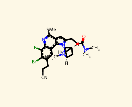 CSc1nc2c(F)c(Br)c(CCC#N)cc2c2c1cc(CCC(=O)N(C)C)n2[C@H]1[C@@H]2C[C@H]1N(C(=O)O)C2